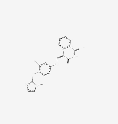 Cn1ccnc1Sc1ccc(NC=C2C(=O)NC(=O)c3ccccc32)cc1Cl